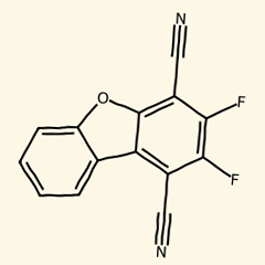 N#Cc1c(F)c(F)c(C#N)c2c1oc1ccccc12